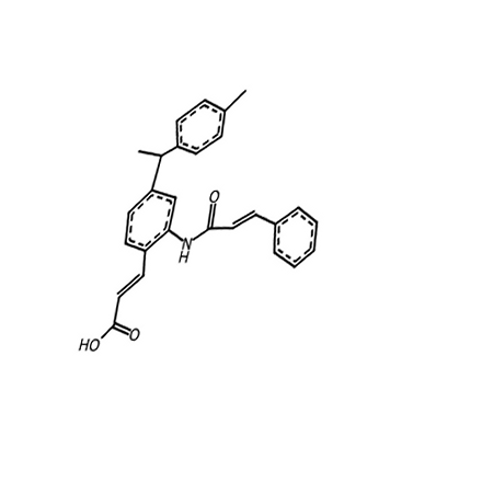 Cc1ccc(C(C)c2ccc(C=CC(=O)O)c(NC(=O)C=Cc3ccccc3)c2)cc1